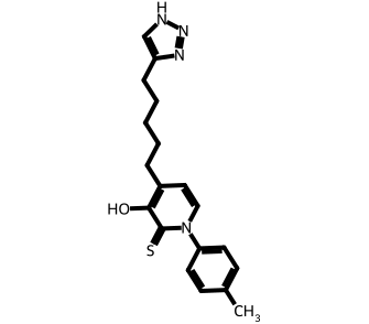 Cc1ccc(-n2ccc(CCCCCc3c[nH]nn3)c(O)c2=S)cc1